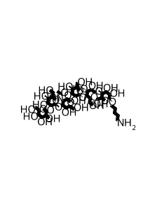 CC(=O)NC1[C@H](O[C@@H]2C(O)[C@@H](O[C@H]3C(CO)O[C@@H](O[C@@H]4C(CO)O[C@@H](OCCCCCN)C(O)[C@H]4O)C(O)[C@H]3O)OC(CO)[C@@H]2O)OC(CO)[C@H](O)[C@@H]1O[C@@H]1OC(CO)[C@H](O)[C@H](O)C1O[C@@H]1OC(CO)[C@@H](O)[C@H](O)C1O